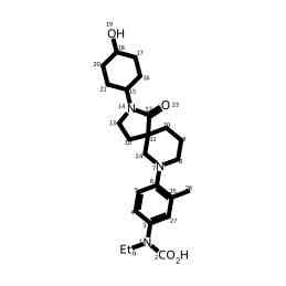 CCN(C(=O)O)c1ccc(N2CCCC3(CCN(C4CCC(O)CC4)C3=O)C2)c(C)c1